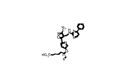 Cc1noc(-c2ccc(O[C@H](CF)CCCCC(=O)O)cn2)c1CNc1nccc(-c2ccccc2)n1